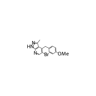 COc1ccc(Cc2c(Br)cnc3[nH]nc(C)c23)cc1